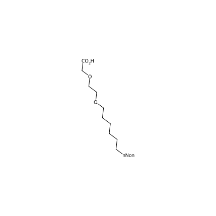 CCCCCCCCCCCCCCCOCCOCC(=O)O